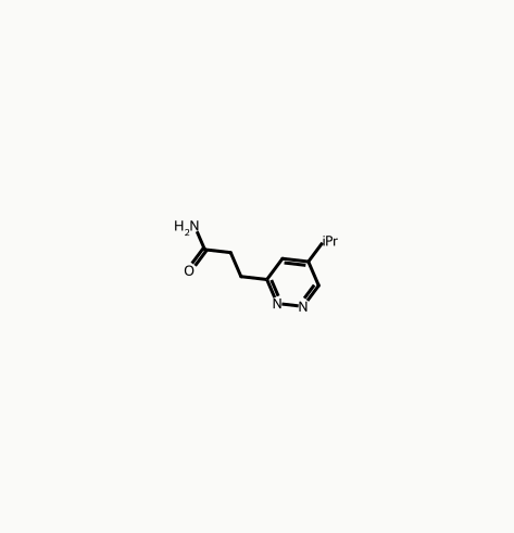 CC(C)c1cnnc(CCC(N)=O)c1